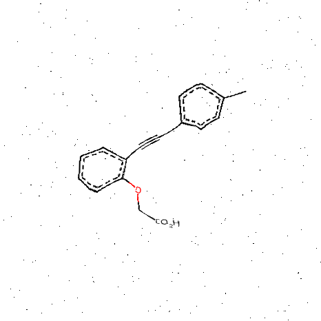 Cc1ccc(C#Cc2ccccc2OCC(=O)O)cc1